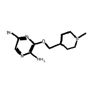 CN1CCC(COc2nc(Br)cnc2N)CC1